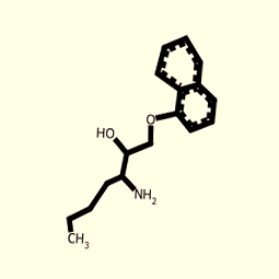 CCCCC(N)C(O)COc1cccc2ccccc12